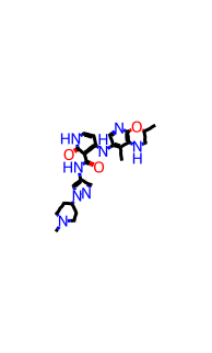 Cc1c(Nc2cc[nH]c(=O)c2C(=O)Nc2cnn(C3CCN(C)CC3)c2)cnc2c1NCC(C)O2